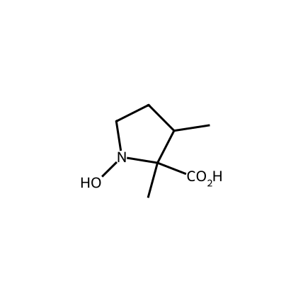 CC1CCN(O)C1(C)C(=O)O